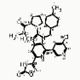 CC1CCC(Cn2c(N3CCC[C@@H]3C(=O)N(C)C)nc3cc(-c4noc(=O)[nH]4)nc(-c4cncc(Cl)c4)c32)CC1